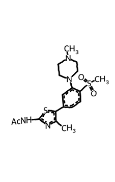 CC(=O)Nc1nc(C)c(-c2ccc(S(C)(=O)=O)c(N3CCN(C)CC3)c2)s1